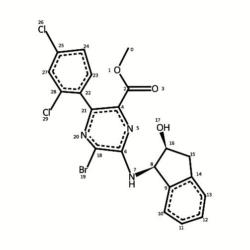 COC(=O)c1nc(N[C@@H]2c3ccccc3C[C@@H]2O)c(Br)nc1-c1ccc(Cl)cc1Cl